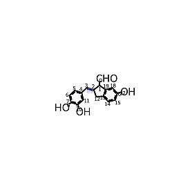 O=CC1/C(=C/c2ccc(O)c(O)c2)Cc2ccc(O)cc21